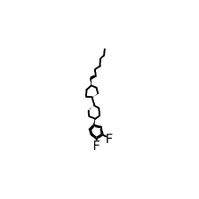 CCCCCC=C[C@H]1CC[C@H]([C@H]2CC[C@H](c3ccc(F)c(F)c3)CC2)CC1